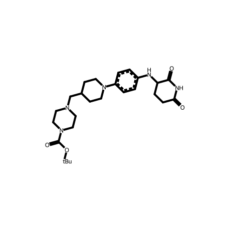 CC(C)(C)OC(=O)N1CCN(CC2CCN(c3ccc(NC4CCC(=O)NC4=O)cc3)CC2)CC1